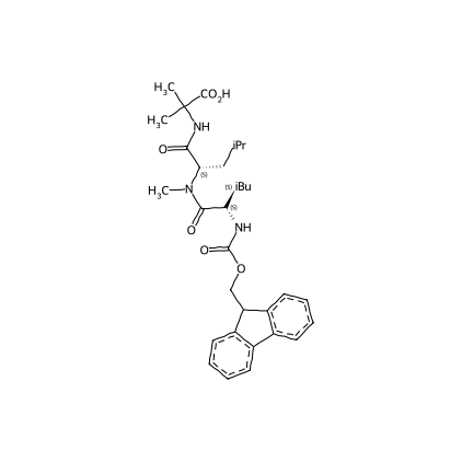 CC[C@H](C)[C@H](NC(=O)OCC1c2ccccc2-c2ccccc21)C(=O)N(C)[C@@H](CC(C)C)C(=O)NC(C)(C)C(=O)O